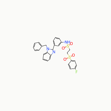 O=S(=O)(CCS(=O)(=O)c1ccc(F)cc1)Nc1cccc(-c2nc3ccccc3n2Cc2ccccc2)c1